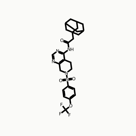 O=C(CC12CC3CC(CC(C3)C1)C2)Nc1ncnc2c1CCN(S(=O)(=O)c1ccc(OC(F)(F)F)cc1)C2